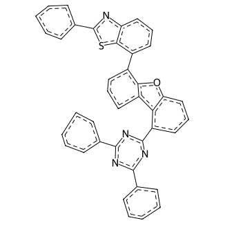 c1ccc(-c2nc(-c3ccccc3)nc(-c3cccc4oc5c(-c6cccc7nc(-c8ccccc8)sc67)cccc5c34)n2)cc1